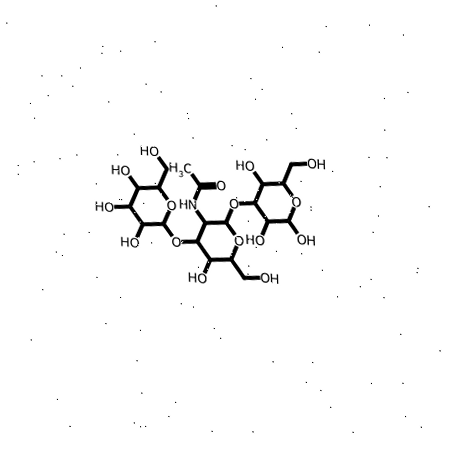 CC(=O)NC1C(OC2C(O)C(O)OC(CO)C2O)OC(CO)C(O)C1OC1OC(CO)C(O)C(O)C1O